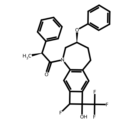 C[C@H](C(=O)N1C[C@@H](Oc2ccccc2)CCc2cc3c(cc21)C(F)C3(O)C(F)(F)F)c1ccccc1